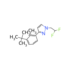 Cc1c(-c2ccn(CC(F)F)n2)cccc1C(C)(C)C